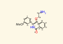 COc1cccc(-c2[nH]c(=O)c3ccccc3c2OCCN)c1